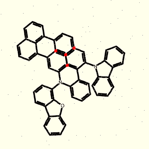 c1ccc(-c2cccc3cccc(-c4cccc(N(c5ccccc5-c5ccccc5-n5c6ccccc6c6ccccc65)c5cccc6c5oc5ccccc56)c4)c23)cc1